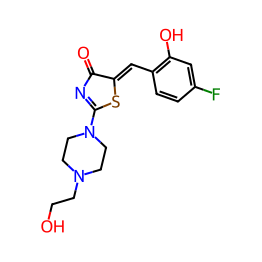 O=C1N=C(N2CCN(CCO)CC2)S/C1=C\c1ccc(F)cc1O